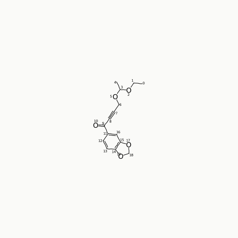 CCOC(C)OCC#CC(=O)c1ccc2c(c1)OCO2